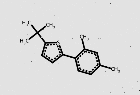 Cc1ccc(-c2ccc(C(C)(C)C)s2)c(C)c1